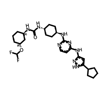 O=C(N[C@@H]1CCC[C@@H](OC(F)F)C1)N[C@H]1CC[C@H](Nc2nccc(Nc3cc(C4CCCC4)[nH]n3)n2)CC1